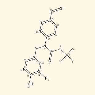 CC(C)(C)OC(=O)N(Cc1cnc(O)c(F)c1)c1ccc(C=O)cn1